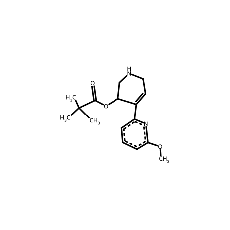 COc1cccc(C2=CCNCC2OC(=O)C(C)(C)C)n1